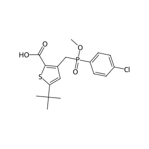 COP(=O)(Cc1cc(C(C)(C)C)sc1C(=O)O)c1ccc(Cl)cc1